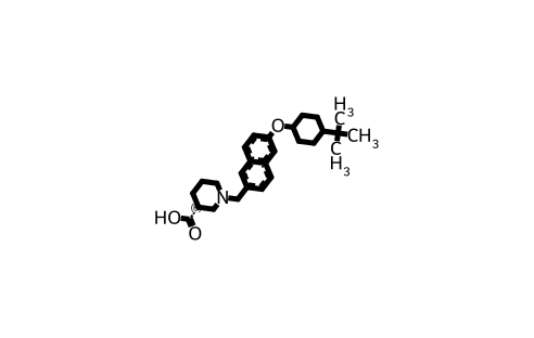 CC(C)(C)C1CCC(Oc2ccc3cc(CN4CCC[C@@H](C(=O)O)C4)ccc3c2)CC1